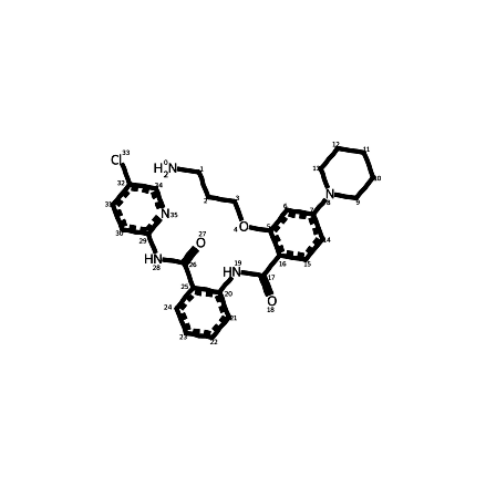 NCCCOc1cc(N2CCCCC2)ccc1C(=O)Nc1ccccc1C(=O)Nc1ccc(Cl)cn1